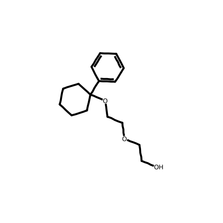 OCCOCCOC1(c2ccccc2)CCCCC1